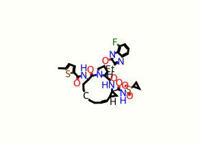 CCc1nc2cccc(F)c2nc1O[C@@H]1C[C@H]2C(=O)N[C@]3(C(=O)NS(=O)(=O)C4CC4)C[C@H]3C=CCCCCC[C@H](NC(=O)c3ccc(C)s3)C(=O)N2C1